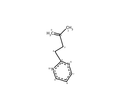 C=C(C)CCc1ncccn1